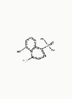 Nc1ccc(P(=O)(O)O)c2cccc(O)c12